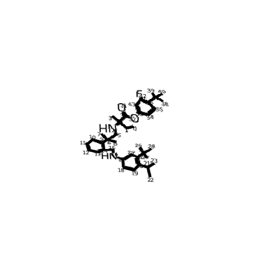 CCC(C)(NCC(C)(C)c1ccccc1CNc1ccc(C(C)C)c(C(C)(C)C)c1)C(=O)Oc1ccc(C(C)(C)C)c(F)c1